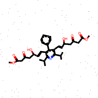 COC(=O)CC(=O)CC(O)/C=C/c1c(C(C)C)nc(C(C)C)c(/C=C/C(O)CC(=O)CC(=O)OC)c1-c1ccccc1